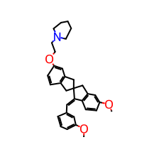 COc1cccc(/C=C2\c3ccc(OC)cc3CC23Cc2ccc(OCCN4CCCCC4)cc2C3)c1